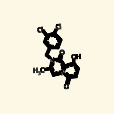 Cc1cn2c(=O)ccc(O)c2c(=O)n1Cc1ccc(Cl)c(Cl)c1